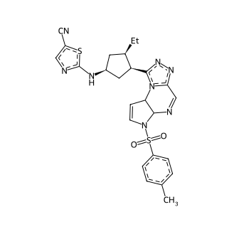 CC[C@@H]1C[C@H](Nc2ncc(C#N)s2)C[C@@H]1c1nnc2n1C1C=CN(S(=O)(=O)c3ccc(C)cc3)C1N=C2